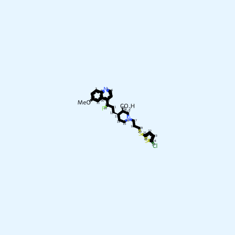 COc1ccc2nccc(C(F)CC[C@@H]3CCN(CCCSc4ccc(Cl)s4)C[C@@H]3C(=O)O)c2c1